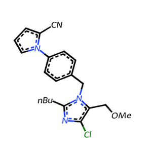 CCCCc1nc(Cl)c(COC)n1Cc1ccc(-n2cccc2C#N)cc1